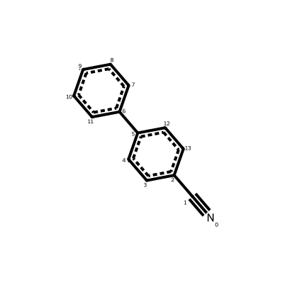 N#Cc1c[c]c(-c2cc[c]cc2)cc1